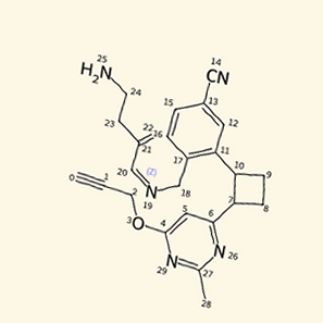 C#CCOc1cc(C2CCC2c2cc(C#N)ccc2C/N=C\C(=C)CCN)nc(C)n1